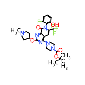 CN1CCC(Oc2nc(N3CCN(C(=O)OC(C)(C)C)CC3)c3cc(C(F)(F)F)n(-c4c(O)cccc4F)c(=O)c3n2)CC1